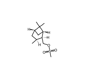 C[C@H]1C[C@H]2C[C@@H]([C@H]1COS(C)(=O)=O)C2(C)C